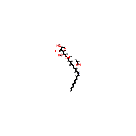 CCCCCCCC/C=C\CCCCCCCC(=O)OC[C@@H](O)[C@H]1OC[C@H](O)[C@H]1O.CCO